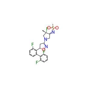 C[C@]1(F)CN(C2=NOC(c3c(F)cccc3-c3c(F)cccc3F)C2)C/C1=N/S(C)(=O)=O